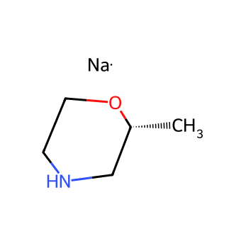 C[C@@H]1CNCCO1.[Na]